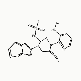 CC(C)Nc1cccnc1N1CC(NS(C)(=O)=O)N(c2cc3ccccc3[nH]2)CC1=C=O